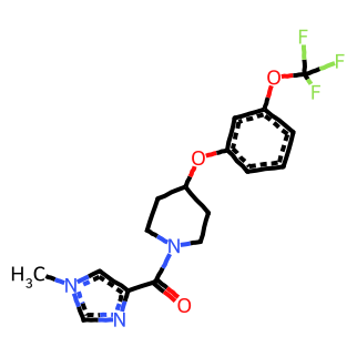 Cn1cnc(C(=O)N2CCC(Oc3cccc(OC(F)(F)F)c3)CC2)c1